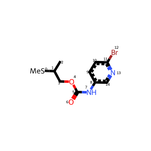 CSC(C)COC(=O)Nc1ccc(Br)nc1